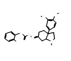 COc1ccc(C23CC/C(=N\NC(=O)Nc4ccccc4Cl)CC2N(C)CC3)cc1OC